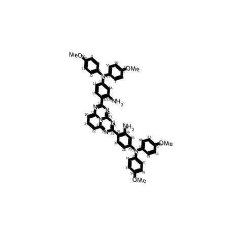 COc1ccc(N(c2ccc(OC)cc2)c2ccc(C3=NC4=CC=CC5=NC(c6ccc(N(c7ccc(OC)cc7)c7ccc(OC)cc7)cc6N)=NC(=N3)N45)c(N)c2)cc1